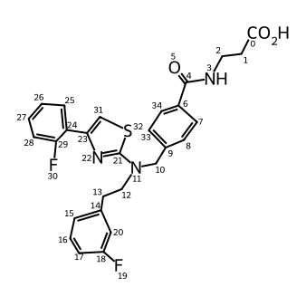 O=C(O)CCNC(=O)c1ccc(CN(CCc2cccc(F)c2)c2nc(-c3ccccc3F)cs2)cc1